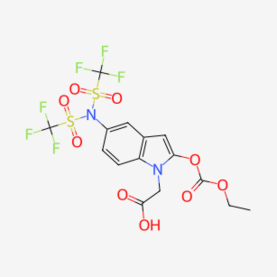 CCOC(=O)Oc1cc2cc(N(S(=O)(=O)C(F)(F)F)S(=O)(=O)C(F)(F)F)ccc2n1CC(=O)O